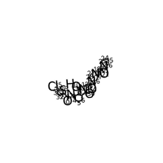 O=C(Nc1cccc2c1C(=O)N(CC(=O)N1CCN(CC(=O)N3CCCC3)CC1)C2=O)c1ccc(Cl)s1